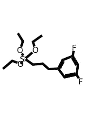 CCO[Si](CCCc1cc(F)cc(F)c1)(OCC)OCC